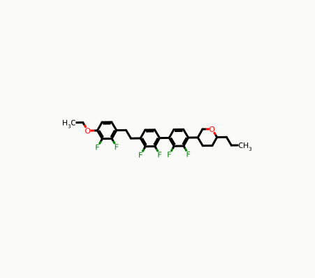 CCCC1CCC(c2ccc(-c3ccc(CCc4ccc(OCC)c(F)c4F)c(F)c3F)c(F)c2F)CO1